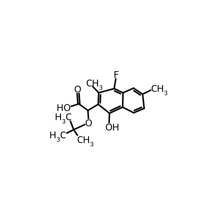 Cc1ccc2c(O)c(C(OC(C)(C)C)C(=O)O)c(C)c(F)c2c1